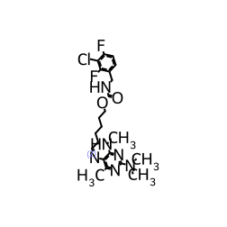 CNc1nc(N(C)C)nc(C)c1/N=C\CCCCCOC(=O)NCc1ccc(F)c(Cl)c1F